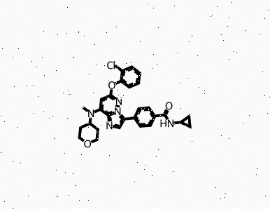 CN(c1cc(Oc2ccccc2Cl)nn2c(-c3ccc(C(=O)NC4CC4)cc3)cnc12)C1CCOCC1